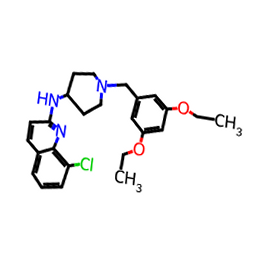 CCOc1cc(CN2CCC(Nc3ccc4cccc(Cl)c4n3)CC2)cc(OCC)c1